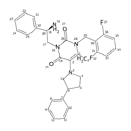 Cc1c(N2CCC(c3ccccc3)C2)c(=O)n(C[C@H](N)c2ccccc2)c(=O)n1Cc1c(F)cccc1F